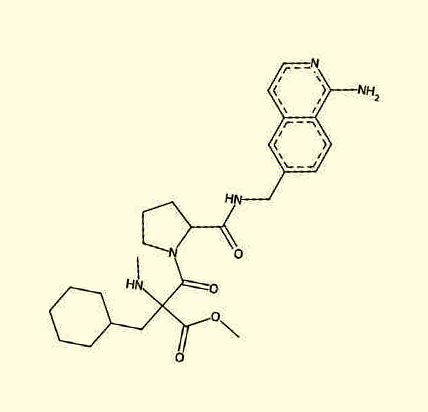 CNC(CC1CCCCC1)(C(=O)OC)C(=O)N1CCCC1C(=O)NCc1ccc2c(N)nccc2c1